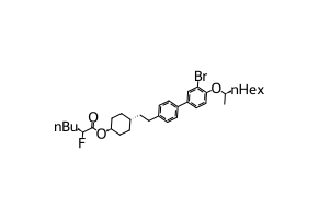 CCCCCC[C@@H](C)Oc1ccc(-c2ccc(CC[C@H]3CC[C@H](OC(=O)[C@@H](F)CCCC)CC3)cc2)cc1Br